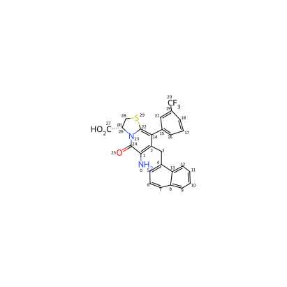 Nc1c(Cc2cccc3ccccc23)c(-c2cccc(C(F)(F)F)c2)c2n(c1=O)[C@H](C(=O)O)CS2